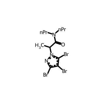 CCCN(CCC)C(=O)C(C)n1nc(Br)c(Br)c1Br